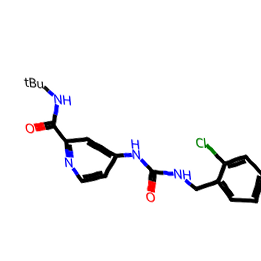 CC(C)(C)NC(=O)c1cc(NC(=O)NCc2ccccc2Cl)ccn1